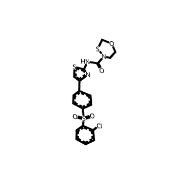 O=C(Nc1nc(-c2ccc(S(=O)(=O)c3ccccc3Cl)cc2)cs1)N1CCOCS1